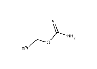 CCC[CH]OC(N)=S